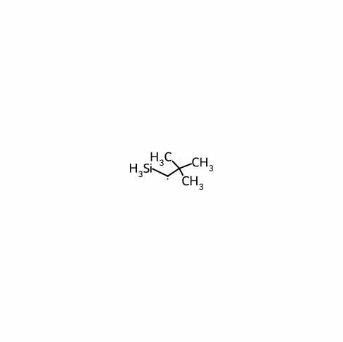 CC(C)(C)[CH][SiH3]